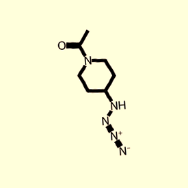 CC(=O)N1CCC(NN=[N+]=[N-])CC1